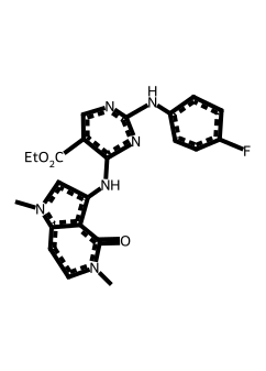 CCOC(=O)c1cnc(Nc2ccc(F)cc2)nc1Nc1cn(C)c2ccn(C)c(=O)c12